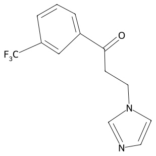 O=C(CCn1ccnc1)c1cccc(C(F)(F)F)c1